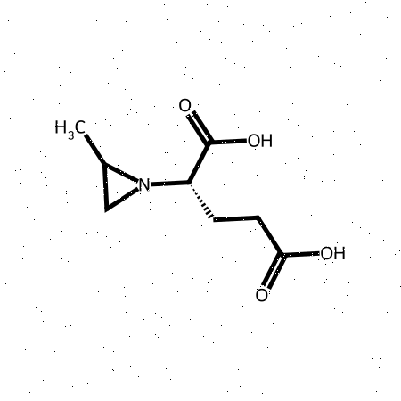 CC1CN1[C@@H](CCC(=O)O)C(=O)O